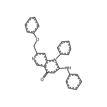 O=c1cc(Nc2ccccc2)n(-c2ccccc2)c2cc(COc3ccccc3)ncc12